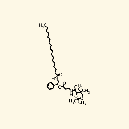 CCCCCCCCC=CCCCCCCCC(=O)NCC(OC(=O)CCNC(=O)C1OC(C)(C)OCC1(C)C)c1ccccc1